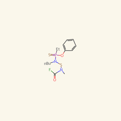 CCCCN(SN(C)C(=O)F)P(=S)(CC)Oc1ccccc1